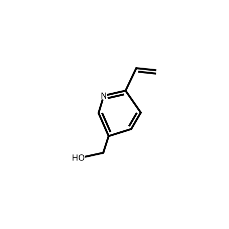 C=Cc1ccc(CO)cn1